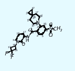 CS(=O)(=O)c1ccc(C(=O)Nc2cccn(C3CC(F)(F)C3)c2=O)c(N2CCC3(CC2)CC3)c1